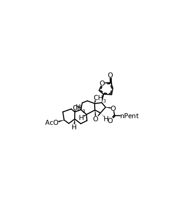 CCCCCC(=O)O[C@H]1[C@H]2O[C@]23[C@@H]2CC[C@@H]4C[C@@H](OC(C)=O)CC[C@]4(C)[C@H]2CC[C@]3(C)[C@H]1c1ccc(=O)oc1